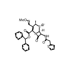 CON=CC1=C(C(=O)OC(c2ccccc2)c2ccccc2)N2C(=O)C(NC(=O)Cc3cccs3)[C@@H]2[S+]([O-])[C@@H]1C